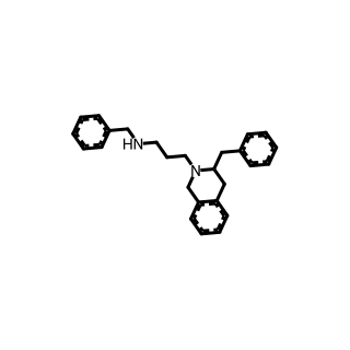 c1ccc(CNCCCN2Cc3ccccc3CC2Cc2ccccc2)cc1